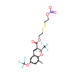 Cc1cc(OC(F)(F)F)cc2c1O[C@H](C(F)(F)F)C(C(=O)OCCSSCCO[N+](=O)[O-])=C2